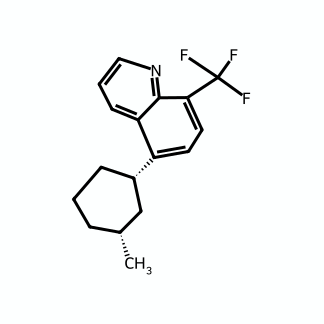 C[C@@H]1CCC[C@H](c2ccc(C(F)(F)F)c3ncccc23)C1